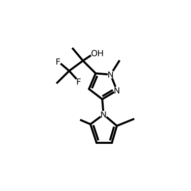 Cc1ccc(C)n1-c1cc(C(C)(O)C(C)(F)F)n(C)n1